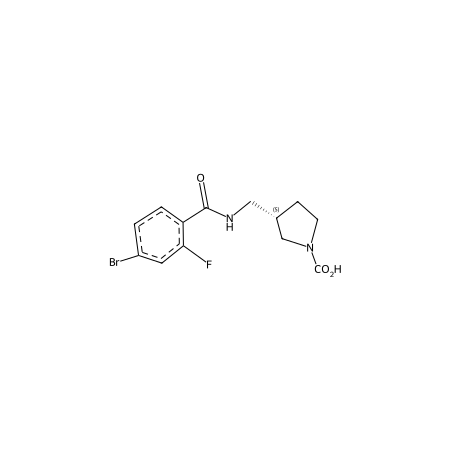 O=C(NC[C@@H]1CCN(C(=O)O)C1)c1ccc(Br)cc1F